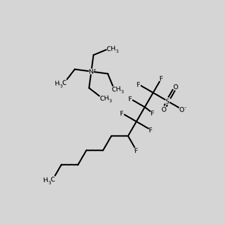 CCCCCCC(F)C(F)(F)C(F)(F)C(F)(F)S(=O)(=O)[O-].CC[N+](CC)(CC)CC